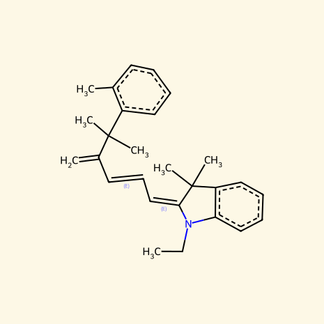 C=C(/C=C/C=C1/N(CC)c2ccccc2C1(C)C)C(C)(C)c1ccccc1C